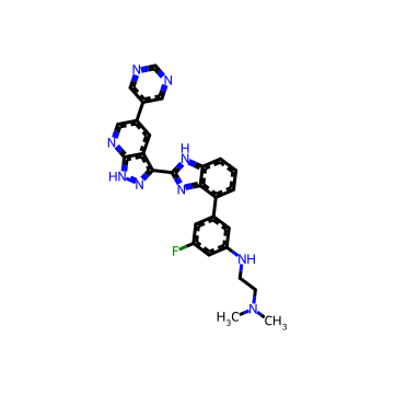 CN(C)CCNc1cc(F)cc(-c2cccc3[nH]c(-c4n[nH]c5ncc(-c6cncnc6)cc45)nc23)c1